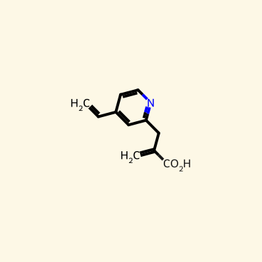 C=Cc1ccnc(CC(=C)C(=O)O)c1